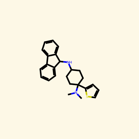 CN(C)C1(c2cccs2)CCC(NC2c3ccccc3-c3ccccc32)CC1